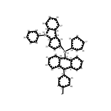 Cc1ccc(-c2c3ccccc3c(N(c3ccccc3)c3ccc4c(c3)c3ccccc3n4-c3ccccc3)c3ccccc23)cc1